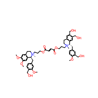 COc1ccc(C[C@H]2c3cc(CO)c(CO)cc3CC[N@@+]2(C)CCCOC(=O)/C=C/C(=O)OCCC[N@+]2(C)CCc3cc(OC)c(OC)cc3[C@@H]2Cc2ccc(CO)c(OC)c2)cc1CO